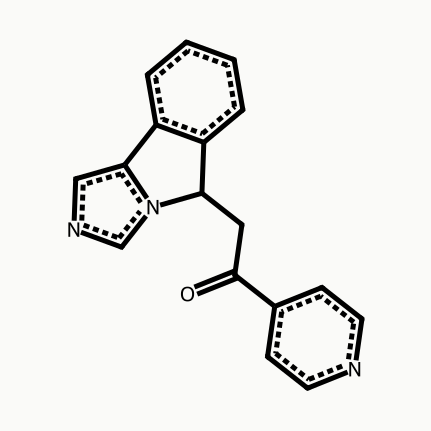 O=C(CC1c2ccccc2-c2cncn21)c1ccncc1